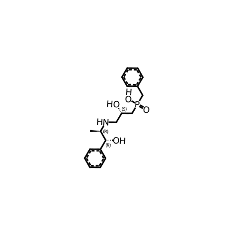 C[C@@H](NC[C@H](O)CP(=O)(O)Cc1ccccc1)[C@H](O)c1ccccc1